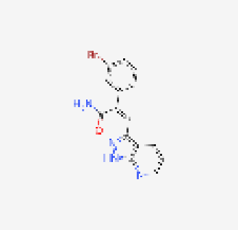 NC(=O)C(=Cc1n[nH]c2ncccc12)c1cccc(Br)c1